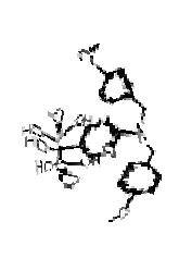 COc1ccc(CN(Cc2ccc(OC)cc2)c2ncc(C(O)(P(=O)(O)O)P(=O)(O)O)cn2)cc1